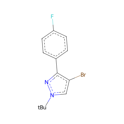 CC(C)(C)n1cc(Br)c(-c2ccc(F)cc2)n1